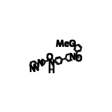 COc1cccc(C(=O)N2CCC(c3ccc(NC(=O)C4CN(c5cccnn5)C4)cc3)CC2)c1